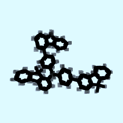 CC1(C)c2ccccc2-c2cc(-c3ccc(N(c4ccc(-c5cccc6oc7ccccc7c56)cc4)c4cccc5c4C(C)(C)c4ccccc4-5)cc3)ccc21